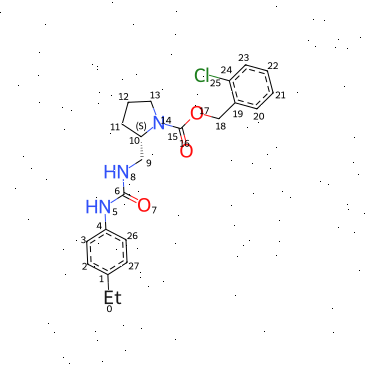 CCc1ccc(NC(=O)NC[C@@H]2CCCN2C(=O)OCc2ccccc2Cl)cc1